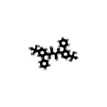 O=C(Nc1ccc(C(F)(F)F)cc1-c1ccccc1)C(=O)Nc1ccc(C(F)(F)F)cc1-c1ccccc1